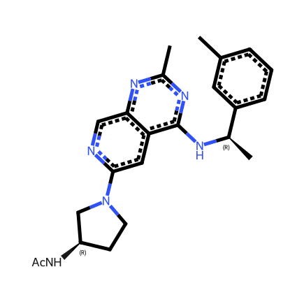 CC(=O)N[C@@H]1CCN(c2cc3c(N[C@H](C)c4cccc(C)c4)nc(C)nc3cn2)C1